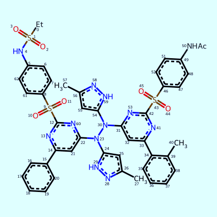 CCS(=O)(=O)Nc1ccc(S(=O)(=O)c2nc(-c3ccccc3)cc(N(c3cc(C)n[nH]3)N(c3cc(-c4ccccc4C)nc(S(=O)(=O)c4ccc(NC(C)=O)cc4)n3)c3cc(C)n[nH]3)n2)cc1